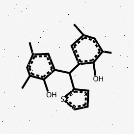 Cc1cc(C)c(O)c(C(c2cccs2)c2cc(C)cc(C)c2O)c1